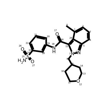 Cc1cccc2nn(CC3CCOCC3)c(C(=O)Nc3cccc(S(N)(=O)=O)c3)c12